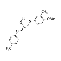 CCO[C@H](COc1ccc(C(F)(F)F)cc1)CSc1ccc(OC)c(C)c1